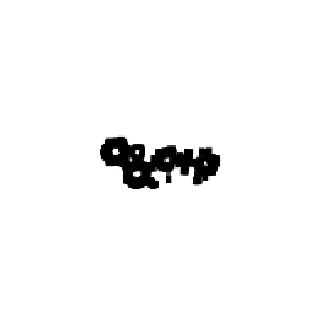 Cc1ccc2c(oc3ccccc32)c1N1C=CN(C(C)(C)c2nccn2C)[C@@H]1C